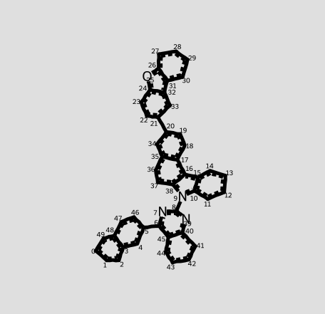 c1ccc2cc(-c3nc(-n4c5ccccc5c5c6ccc(-c7ccc8oc9ccccc9c8c7)cc6ccc54)nc4ccccc34)ccc2c1